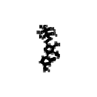 CC(C)(C)[Si](C)(C)OC[C@H]1O[C@@H](n2ccc(N)nc2=O)[C@@H](C#N)[C@@H]1O